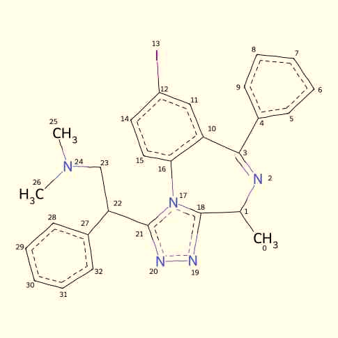 CC1N=C(c2ccccc2)c2cc(I)ccc2-n2c1nnc2C(CN(C)C)c1ccccc1